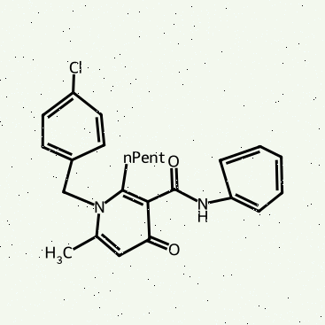 CCCCCc1c(C(=O)Nc2ccccc2)c(=O)cc(C)n1Cc1ccc(Cl)cc1